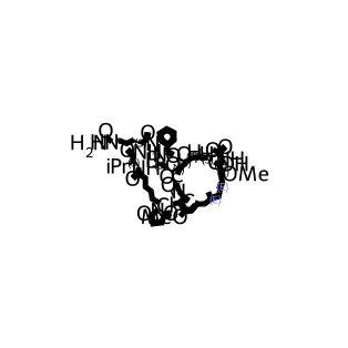 COc1cc2cc(c1Cl)N(C)C(=O)C[C@H](OC(=O)[C@H](C)N(C)C(=O)c1ccccc1NC(=O)[C@H](CCCNC(N)=O)NC(=O)[C@@H](NC(=O)CCCCCN1C(=O)C=CC1=O)C(C)C)[C@]1(C)O[C@H]1[C@H](C)[C@@H]1C[C@@](O)(NC(=O)O1)[C@H](OC)/C=C/C=C(\C)C2